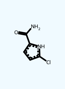 NC(=O)c1ccc(Cl)[nH]1